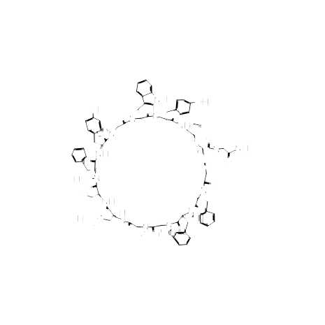 CCCC[C@H]1C(=O)N(C)CC(=O)N[C@@H](CC(=O)O)C(=O)N[C@@H](CO)C(=O)N(C)[C@@H](Cc2ccccc2)C(=O)N[C@@H](Cc2ccc(O)cc2)C(=O)N(C)CC(=O)N[C@@H](Cc2c[nH]c3ccccc23)C(=O)N[C@@H](Cc2ccc(O)cc2)C(=O)N[C@@H](CC(C)C)C(=O)N[C@H](C(=O)NCC(N)=O)CSCC(=O)N[C@@H](Cc2ccccc2)C(=O)N(C)[C@@H](Cc2ccccc2)C(=O)N1C